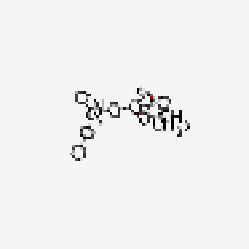 CC1(C)c2ccccc2C2(c3ccccc3Sc3cc(-c4ccc(-c5nc(-c6ccccc6)cc(-c6ccc(-c7ccccc7)cc6)n5)cc4)ccc32)c2ccccc21